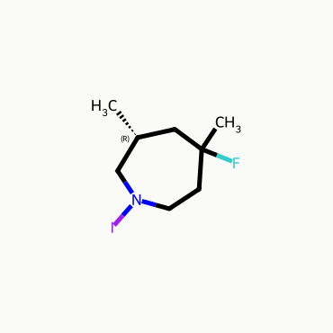 C[C@H]1CN(I)CCC(C)(F)C1